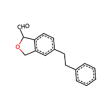 O=CC1OCc2cc(CCc3ccccc3)ccc21